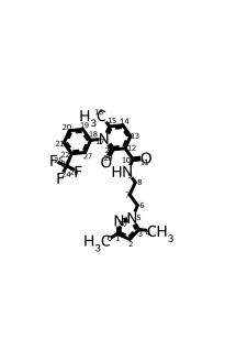 Cc1cc(C)n(CCCNC(=O)c2ccc(C)n(-c3cccc(C(F)(F)F)c3)c2=O)n1